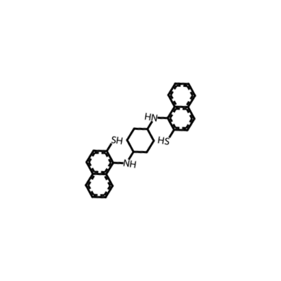 Sc1ccc2ccccc2c1NC1CCC(Nc2c(S)ccc3ccccc23)CC1